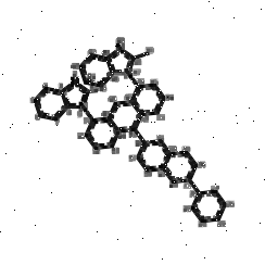 Cc1nc2ccccc2n1-c1cccc2c(-c3ccc4cc(-c5ccccc5)ccc4c3)c3cccc(-n4c(C)nc5ccccc54)c3cc12